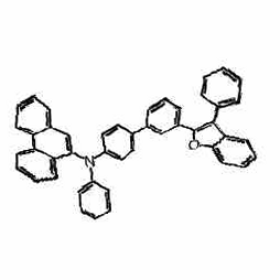 c1ccc(-c2c(-c3cccc(-c4ccc(N(c5ccccc5)c5cc6ccccc6c6ccccc56)cc4)c3)oc3ccccc23)cc1